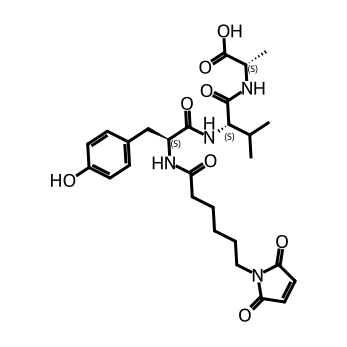 CC(C)[C@H](NC(=O)[C@H](Cc1ccc(O)cc1)NC(=O)CCCCCN1C(=O)C=CC1=O)C(=O)N[C@@H](C)C(=O)O